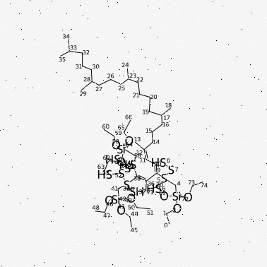 CCO[Si](CS(S)(SS)C(=CC=C(C)CCCC(C)CCCCC(C)CCCC(C)CCCC(C)C)C(C)=C(S(S)(C[Si](OCC)(OCC)OCC)SS)S(S)(C[Si](OCC)(OCC)OCC)SS)(OCC)OCC